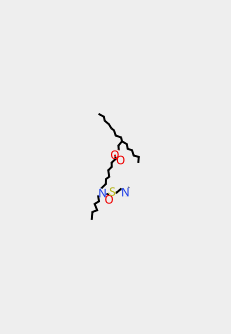 CCCCCCCCC(CCCCCC)CCOC(=O)CCCCCCCN(CCCCCC)C(=O)SCCN(C)C